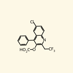 O=C(O)Oc1c(CC(F)(F)F)nc2ccc(Cl)cc2c1-c1ccccc1